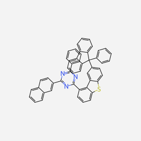 c1ccc(-c2nc(-c3ccc4ccccc4c3)nc(-c3cccc4sc5ccc(C6(c7ccccc7)c7ccccc7-c7ccccc76)cc5c34)n2)cc1